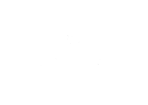 O=C(C1CC1)N1CC[C@H](Cn2cnnc2-c2ccc(-c3cccc4[nH]ccc34)cc2)C1